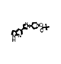 CC(C)(C)C(=O)ON1CCC(n2cc(-c3cnc4[nH]ccc4c3)cn2)CC1